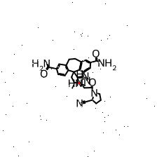 C[C@@H](CC1(c2nnc[nH]2)c2ccc(C(N)=O)cc2CCc2cc(C(N)=O)ccc21)NCC(=O)N1CCCC1C#N